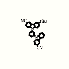 CC(C)(C)c1ccc2c(c1)c1cc(C#N)ccc1n2-c1cccc(-n2c3c(c4ccccc42)CC(C#N)C=C3)c1